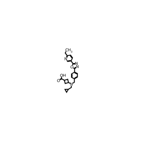 CCc1ccc(-c2nnc(-c3ccc(CN(CC4CC4)C4CC(C(=O)O)C4)cc3)o2)cn1